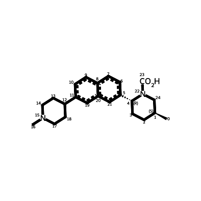 C[C@H]1CC[C@H](c2ccc3ccc(C4CCN(C)CC4)cc3c2)N(C(=O)O)C1